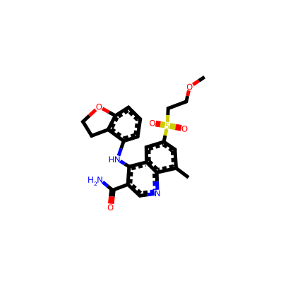 COCCS(=O)(=O)c1cc(C)c2ncc(C(N)=O)c(Nc3cccc4c3CCO4)c2c1